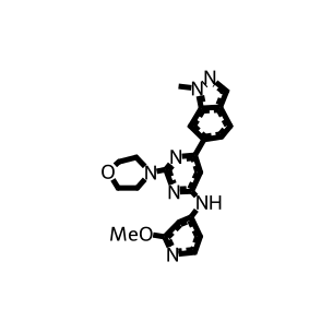 COc1cc(Nc2cc(-c3ccc4cnn(C)c4c3)nc(N3CCOCC3)n2)ccn1